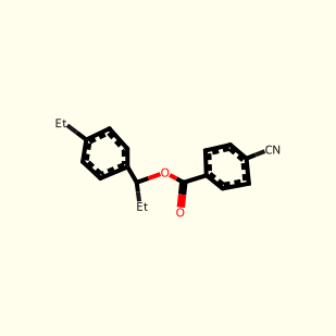 CCc1ccc(C(CC)OC(=O)c2ccc(C#N)cc2)cc1